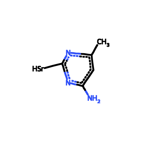 Cc1cc(N)n[c]([SrH])n1